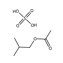 CC(=O)OCC(C)C.O=S(=O)(O)O